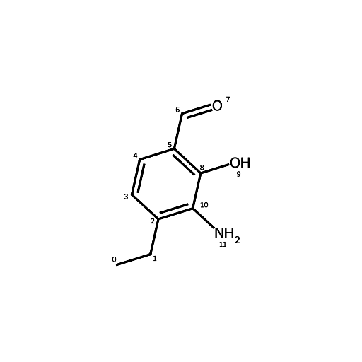 CCc1ccc(C=O)c(O)c1N